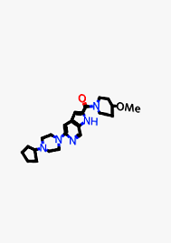 COC1CCN(C(=O)c2cc3cc(N4CCN(C5CCCC5)CC4)ncc3[nH]2)CC1